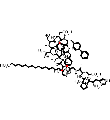 C[C@@H](O)[C@H](NC(=O)CNC(=O)[C@H](CCC(=O)O)NC(=O)[C@]1(C)CCCN1C(=O)[C@@H](N)Cc1c[nH]cn1)C(=O)N[C@@](C)(Cc1ccccc1F)C(=O)N[C@H](C(=O)N[C@@H](CO)C(=O)N[C@@H](CC(=O)O)C(=O)N[C@@H](Cc1ccc(-c2ccccc2)cc1)C(=O)N[C@@H](Cc1ccc(-n2nncc2CCCCCCCCCCCCCCCC(=O)O)cc1)C(N)=O)[C@@H](C)O